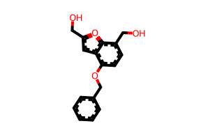 OCc1cc2c(OCc3ccccc3)ccc(CO)c2o1